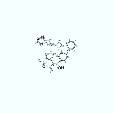 C=CC(C(O)c1ccc(-c2ccccc2C2CC(NCc3ncon3)C2)cc1)n1ccnc1C(C)O